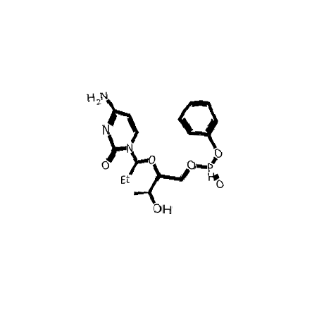 CCC(OC(CO[PH](=O)Oc1ccccc1)[C@H](C)O)n1ccc(N)nc1=O